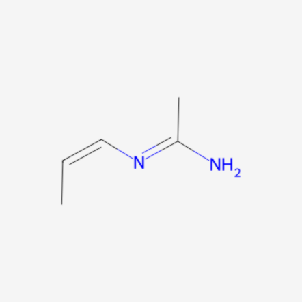 C/C=C\N=C(/C)N